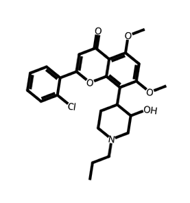 CCCN1CCC(c2c(OC)cc(OC)c3c(=O)cc(-c4ccccc4Cl)oc23)C(O)C1